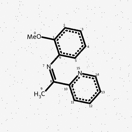 COc1ccccc1N=C(C)c1ccccn1